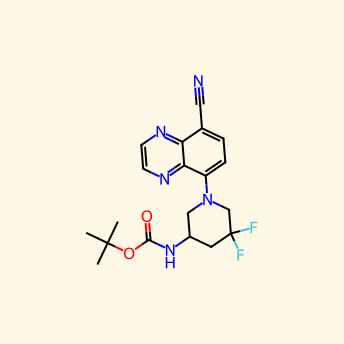 CC(C)(C)OC(=O)NC1CN(c2ccc(C#N)c3nccnc23)CC(F)(F)C1